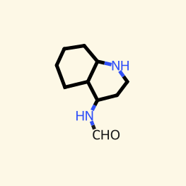 O=CNC1CCNC2CCCCC12